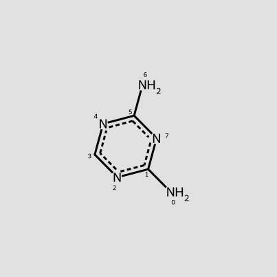 Nc1ncnc(N)n1